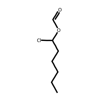 CCCCCC(Cl)OC=O